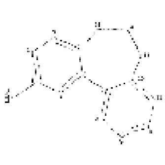 Brc1ccc2c(c1)-c1ccccc1CCC2